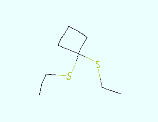 CCSC1(SCC)CCC1